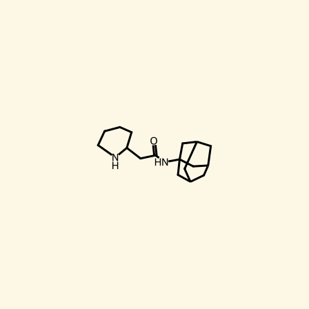 O=C(CC1CCCCN1)NC12CC3CC(CC(C3)C1)C2